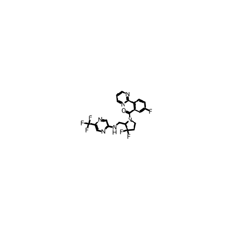 O=C(c1cc(F)ccc1-c1ncccn1)N1CCC(F)(F)C1CNc1cnc(C(F)(F)F)cn1